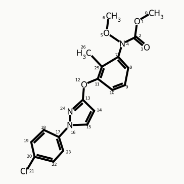 COC(=O)N(OC)c1cccc(Oc2ccn(-c3ccc(Cl)cc3)n2)c1C